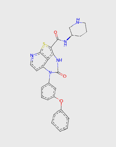 O=C(N[C@@H]1CCCNC1)c1sc2nccc3c2c1NC(=O)N3c1cccc(Oc2ccccc2)c1